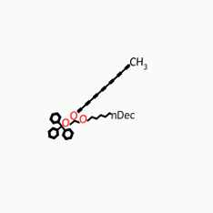 CC#CC#CC#CC#CC#CC#CC#COC(COCCCCCCCCCCCCCCCC)COC(c1ccccc1)(c1ccccc1)c1ccccc1